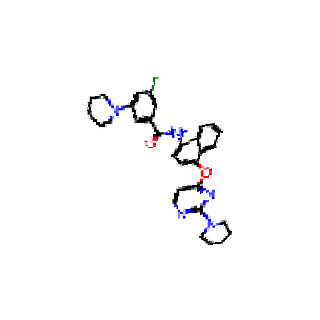 O=C(Nc1ccc(Oc2ccnc(N3CCCCC3)n2)c2ccccc12)c1cc(F)cc(N2CCCCC2)c1